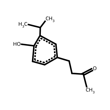 CC(=O)CCc1ccc(O)c(C(C)C)c1